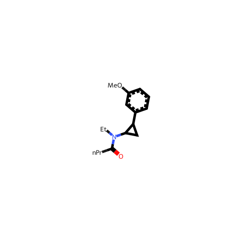 CCCC(=O)N(CC)C1CC1c1cccc(OC)c1